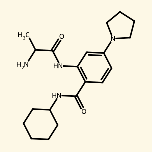 CC(N)C(=O)Nc1cc(N2CCCC2)ccc1C(=O)NC1CCCCC1